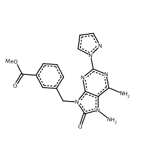 COC(=O)c1cccc(Cn2c(=O)n(N)c3c(N)nc(-n4cccn4)nc32)c1